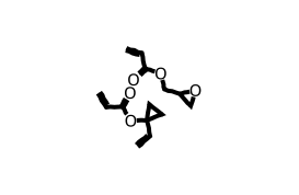 C=CC(=O)OC1(C=C)CC1.C=CC(=O)OCC1CO1